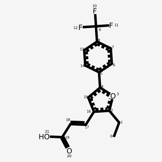 CCc1oc(-c2ccc(C(F)(F)F)cc2)cc1C=CC(=O)O